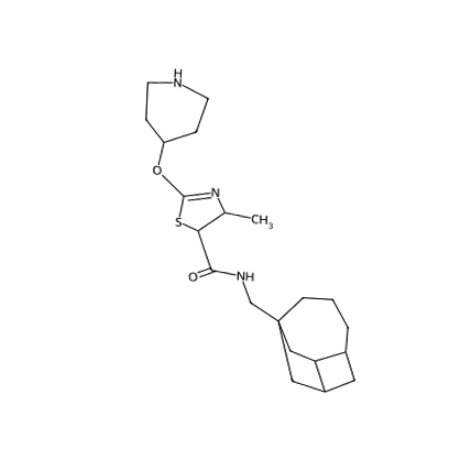 CC1N=C(OC2CCNCC2)SC1C(=O)NCC12CCCC3CC(C1)C3C2